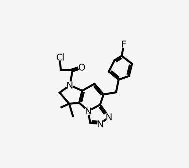 CC1(C)CN(C(=O)CCl)c2cc(Cc3ccc(F)cc3)c3nncn3c21